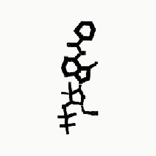 CC(C)(C)[Si](C)(C)OC1[C@@H](CO)O[C@@H](n2cc(F)c3c(NC(=O)c4ccccc4)ncnc32)[C@]1(C)F